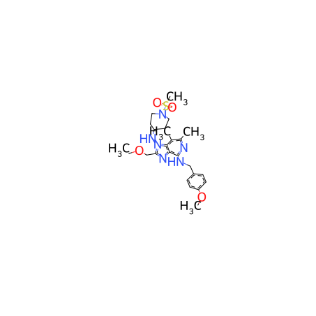 CCOCc1nc2c(NCc3ccc(OC)cc3)nc(C)c(C)c2n1NC1CCN(S(C)(=O)=O)CC1